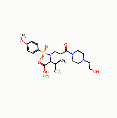 COc1ccc(S(=O)(=O)N(CCC(=O)N2CCN(CCO)CC2)C(C(=O)O)C(C)C)cc1.Cl